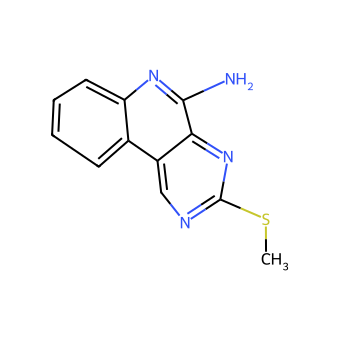 CSc1ncc2c(n1)c(N)nc1ccccc12